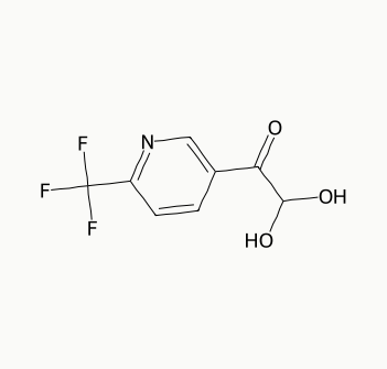 O=C(c1ccc(C(F)(F)F)nc1)C(O)O